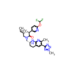 CCCCN(C[C@H]1CCc2cc(-c3nnn(C)n3)c(C)nc2N1)C(=O)[C@@H](C)c1ccc(OC(F)F)nc1